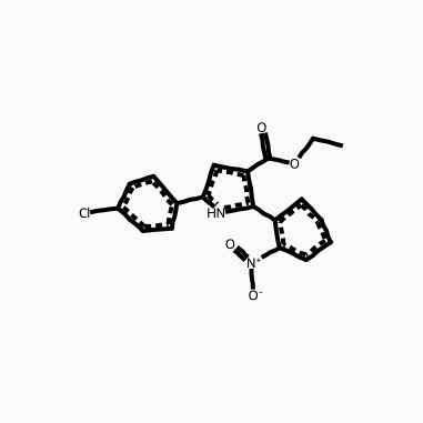 CCOC(=O)c1cc(-c2ccc(Cl)cc2)[nH]c1-c1ccccc1[N+](=O)[O-]